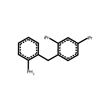 CC(C)c1ccc(Cc2ccccc2P)c(C(C)C)c1